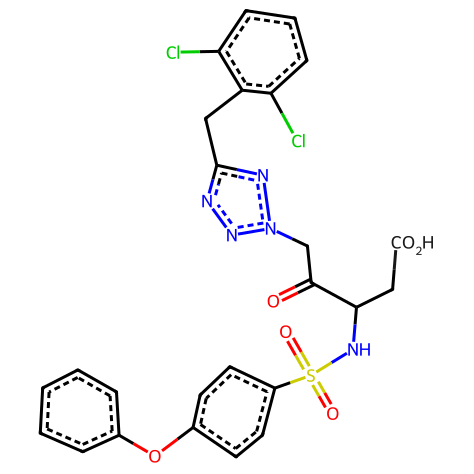 O=C(O)CC(NS(=O)(=O)c1ccc(Oc2ccccc2)cc1)C(=O)Cn1nnc(Cc2c(Cl)cccc2Cl)n1